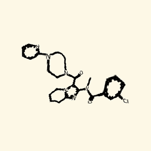 CN(C(=O)c1cccc(Cl)c1)c1nc2n(c1C(=O)N1CCN(c3ccccn3)CC1)CCCC2